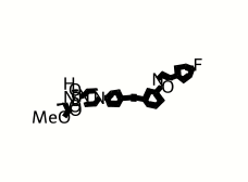 COC(=O)[C@@H](C)NS(=O)(=O)N1CCN(c2ccc(C#Cc3cccc(-c4ncc(-c5ccc(F)cc5)o4)c3)cc2)CC1